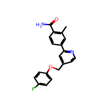 Cc1cc(-c2cc(COc3ccc(F)cc3)ccn2)ccc1C(N)=O